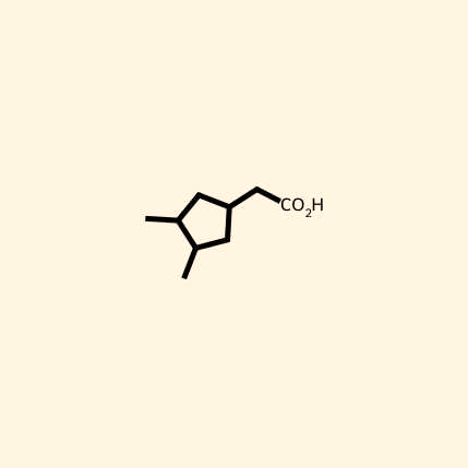 CC1CC(CC(=O)O)CC1C